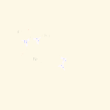 CCCCn1c(C=Cc2cnn(-c3ccccc3)c2)c([N+](=O)[O-])c(=O)n(CC(C)C)c1=O